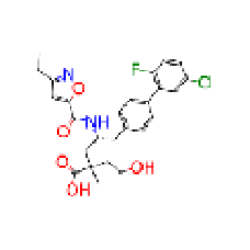 CCc1cc(C(=O)N[C@H](Cc2ccc(-c3cc(Cl)ccc3F)cc2)CC(C)(CCO)C(=O)O)on1